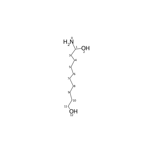 NC(O)CCCCCCCCCO